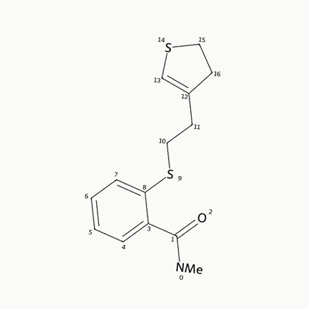 CNC(=O)c1ccccc1SCCC1=CSCC1